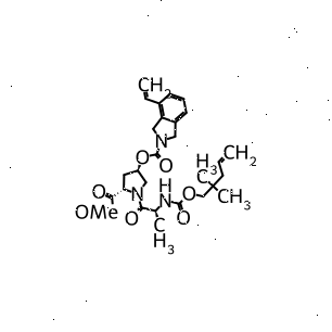 C=CCC(C)(C)COC(=O)N[C@@H](C)C(=O)N1C[C@H](OC(=O)N2Cc3cccc(C=C)c3C2)C[C@H]1C(=O)OC